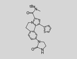 CN(C(=O)c1cc(-c2cccs2)c2n1CCc1ccc(N3CCNC3=O)cc1-2)C(C)(C)C